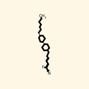 CCCCCCC[C@H]1CC[C@H](C2CCC(CCC=CC=C(F)C#N)CC2)CC1